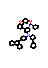 c1ccc(-c2cccc(N(c3ccc(-c4cc5ccccc5c5ccccc45)cc3)c3cccc(-c4cccc5oc6ccc7oc(-c8ccccc8)nc7c6c45)c3)c2)cc1